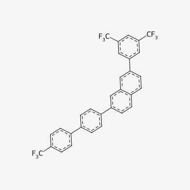 FC(F)(F)c1ccc(-c2ccc(-c3ccc4ccc(-c5cc(C(F)(F)F)cc(C(F)(F)F)c5)cc4c3)cc2)cc1